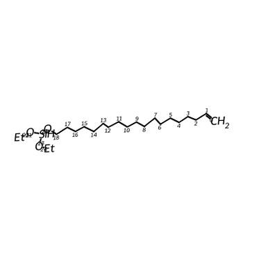 C=CCCCCCCCCCCCCCCCCCO[SiH](OCC)OCC